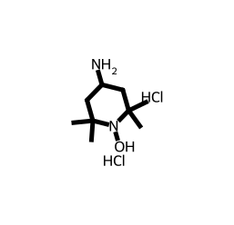 CC1(C)CC(N)CC(C)(C)N1O.Cl.Cl